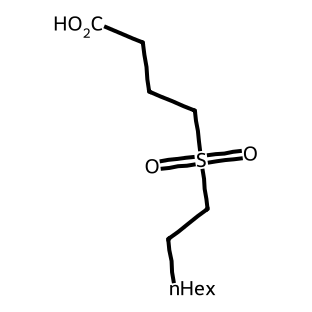 CCCCCCCCS(=O)(=O)CCCC(=O)O